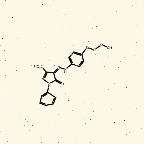 O=C(O)C1=NN(c2ccccc2)C(=O)/C1=N\Nc1ccc(SOOO)cc1